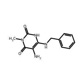 Cn1c(=O)[nH]c(NCc2ccccc2)c(N)c1=O